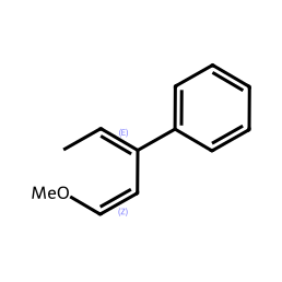 C/C=C(\C=C/OC)c1ccccc1